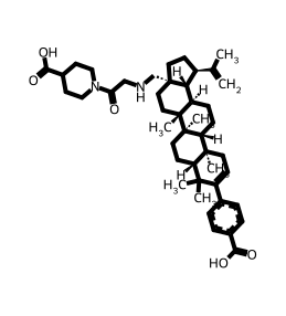 C=C(C)[C@@H]1CC[C@]2(CNCC(=O)N3CCC(C(=O)O)CC3)CC[C@]3(C)[C@H](CC[C@@H]4[C@@]5(C)CC=C(c6ccc(C(=O)O)cc6)C(C)(C)[C@@H]5CC[C@]43C)[C@@H]12